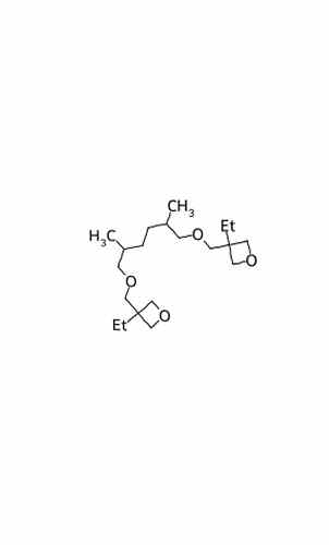 CCC1(COCC(C)CCC(C)COCC2(CC)COC2)COC1